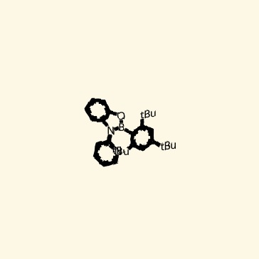 CC(C)(C)c1cc(C(C)(C)C)c(B2Oc3ccccc3N2c2ccccn2)c(C(C)(C)C)c1